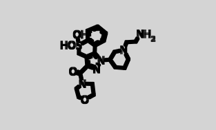 NCCN1CCCC(n2nc(C(=O)N3CCOCC3)c3c2-c2ccccc2S(O)(O)C3)C1